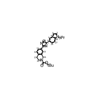 CC(C)n1ccc2cc(-c3nc(-c4ccc5c(c4)CN(C(=O)OC(C)(C)C)CC5)no3)ccc21